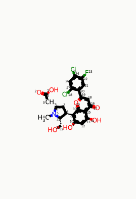 CC(=O)O.CN1CC[C@@H](c2c(O)cc(O)c3c(=O)cc(-c4cc(F)c(Cl)cc4Cl)oc23)[C@@H]1CO